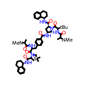 CNC(C)C(=O)NC(Cc1ccc(C(=O)N[C@H]2C[C@@H](C(=O)N[C@@H]3CCCc4ccccc43)N(C(=O)C(NC(=O)C(C)NC)C(C)(C)C)C2)cc1)C(=O)N1C[Si](C)(C)CC1C(=O)N[C@@H]1CCCc2ccccc21